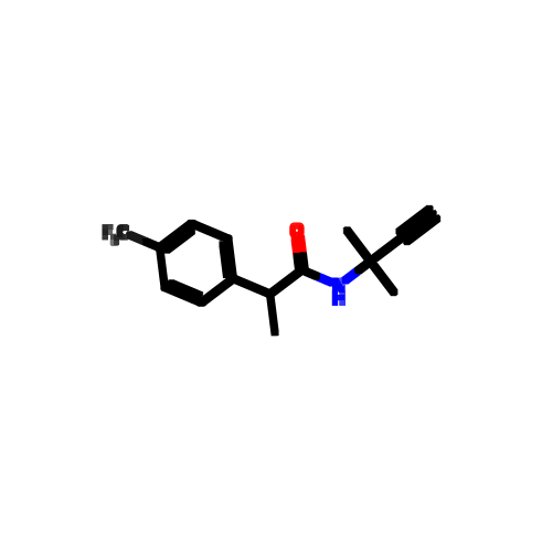 C#CC(C)(C)NC(=O)C(C)c1ccc(C(F)(F)F)cc1